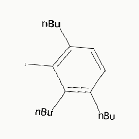 [CH]c1c(CCCC)ccc(CCCC)c1CCCC